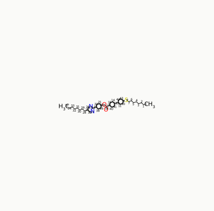 CCCCCCCCSc1ccc(-c2ccc(C(=O)Oc3ccc(-c4ncc(CCCCCCCC)cn4)cc3)cc2)cc1